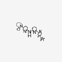 CC(C)c1cnc(-c2cccc(Nc3ccc(N4CCCCC4=O)cn3)n2)s1